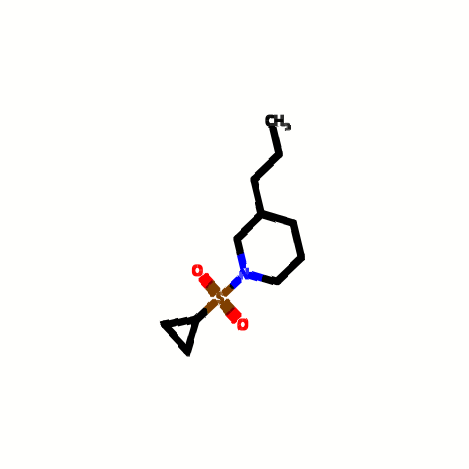 CCCC1CCCN(S(=O)(=O)C2CC2)C1